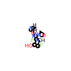 C#Cc1c(F)ccc2cc(O)cc(-c3ncc4c(N5CCOCC6CC65)nc(OC[C@@]56CCCN5C[C@H]5C[C@H]56)nc4c3F)c12